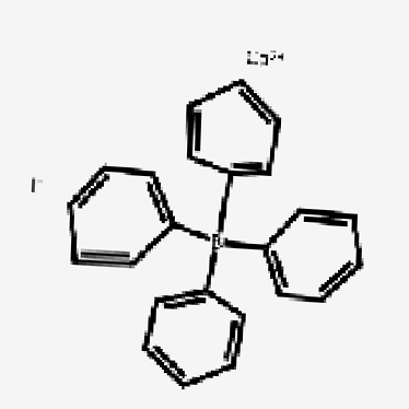 [Ca+2].[I-].c1ccc([B-](c2ccccc2)(c2ccccc2)c2ccccc2)cc1